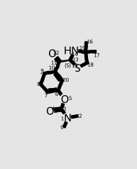 CN(C)C(=O)OC1=CC[CH]C(C(=O)[C@H]2NC(C)(C)CS2)=C1